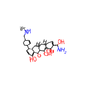 CC(C)NCC1C=CC(C2C=CC(O)=C3C(=O)C4C(O)[C@]5(O)C(=O)C(C(N)O)=CC[C@@H]5C[C@@H]4CC32)CC1